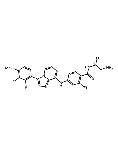 CCc1cc(Nc2nccn3c(-c4ccc(OC)c(F)c4F)cnc23)ccc1C(=O)N[C@@H](CC)CN